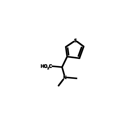 CN(C)C(C(=O)O)c1ccsc1